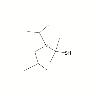 CC(C)CN(C(C)C)C(C)(C)S